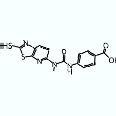 CN(C(=O)Nc1ccc(C(=O)O)cc1)c1ccc2nc(S)sc2n1